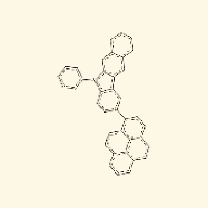 c1ccc(-n2c3ccc(-c4ccc5ccc6cccc7ccc4c5c67)cc3c3cc4ccccc4cc32)cc1